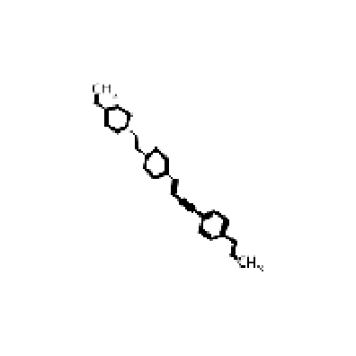 CCCc1ccc(C#CC=C[C@H]2CC[C@H](CC[C@H]3CC[C@H](CC)CC3)CC2)cc1